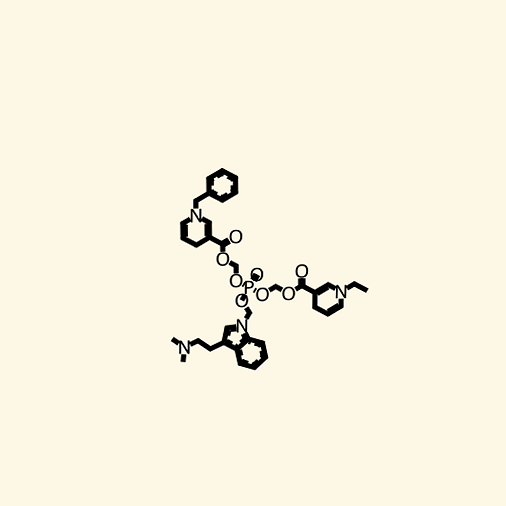 CCN1C=CCC(C(=O)OCOP(=O)(OCOC(=O)C2=CN(Cc3ccccc3)C=CC2)OCn2cc(CCN(C)C)c3ccccc32)=C1